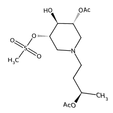 CC(=O)O[C@H](C)CCN1C[C@H](OS(C)(=O)=O)[C@@H](O)[C@H](OC(C)=O)C1